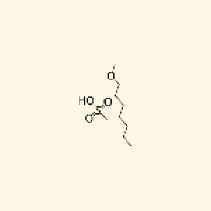 CCCCCCCOC.CS(=O)(=O)O